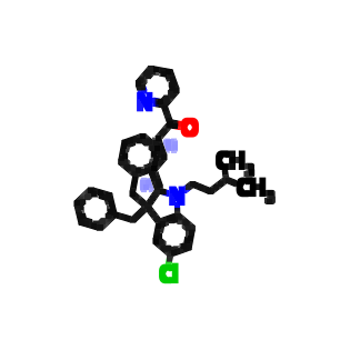 CC(C)CCN1/C(=C\C=C\C(=O)c2ccccn2)C(Cc2ccccc2)(Cc2ccccc2)c2cc(Cl)ccc21